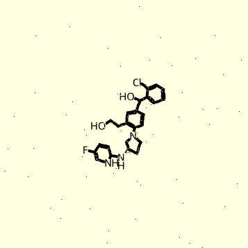 OCCc1cc(C(O)c2ccccc2Cl)ccc1N1CC[C@H](NC2C=CC(F)=CN2)C1